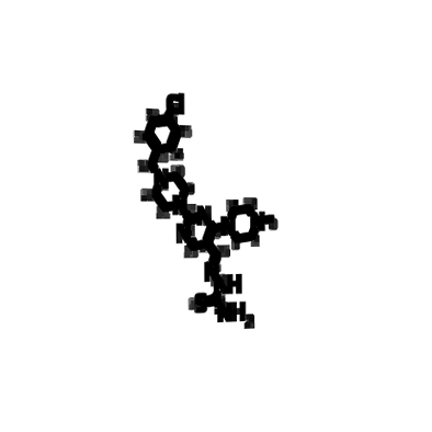 CN1CCN(c2nc(N3CCN(Cc4ccc(Cl)cc4)CC3)ncc2C=NNC(N)=S)CC1